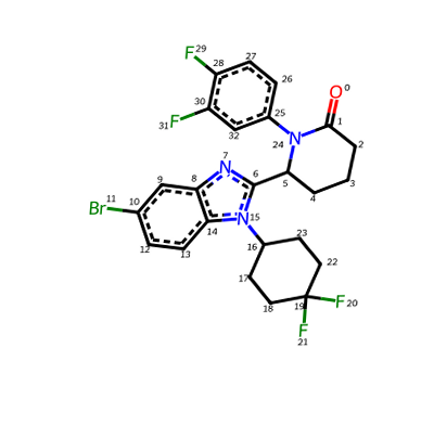 O=C1CCCC(c2nc3cc(Br)ccc3n2C2CCC(F)(F)CC2)N1c1ccc(F)c(F)c1